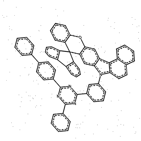 c1ccc(-c2ccc(-c3nc(-c4ccccc4)nc(-c4cccc(-n5c6cc7c(cc6c6c8ccccc8ccc65)Oc5ccccc5C75c6ccccc6-c6ccccc65)c4)n3)cc2)cc1